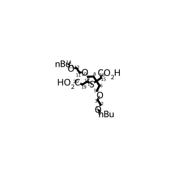 CCCCOCCOCCC(CCOCCOCCCC)(CC(=O)O)SCCC(=O)O